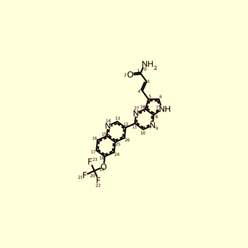 NC(=O)C=Cc1c[nH]c2ncc(-c3cnc4ccc(OC(F)(F)F)cc4c3)nc12